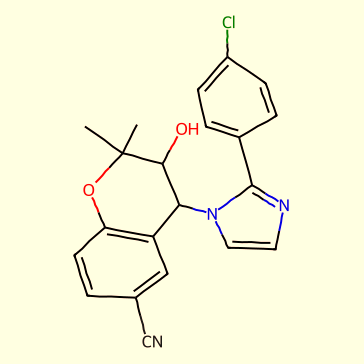 CC1(C)Oc2ccc(C#N)cc2C(n2ccnc2-c2ccc(Cl)cc2)C1O